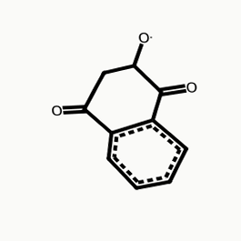 [O]C1CC(=O)c2ccccc2C1=O